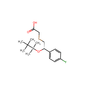 CC(C)(C)[Si](C)(C)O[C@H](CSCC(=O)O)c1ccc(F)cc1